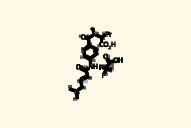 CC(C)C(C(=O)O)N(C)C(=O)c1ccc(NC(=O)/C=C/CN(C)C)cn1.O=C(O)C(F)(F)F